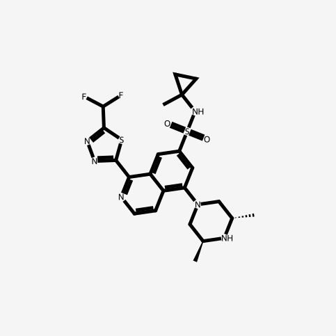 C[C@H]1CN(c2cc(S(=O)(=O)NC3(C)CC3)cc3c(-c4nnc(C(F)F)s4)nccc23)C[C@H](C)N1